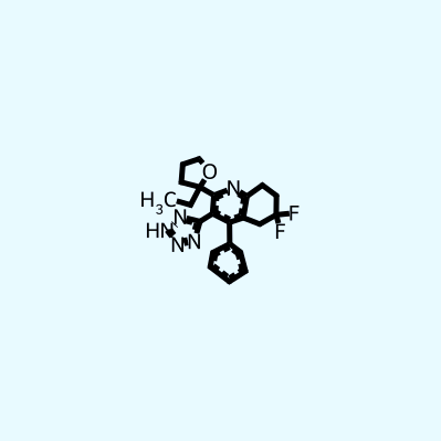 CCC1(c2nc3c(c(-c4ccccc4)c2-c2nn[nH]n2)CC(F)(F)CC3)CCCO1